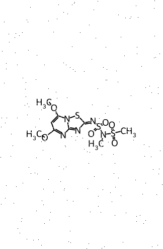 COc1cc(OC)n2sc(=NS(=O)(=O)N(C)S(C)(=O)=O)nc2n1